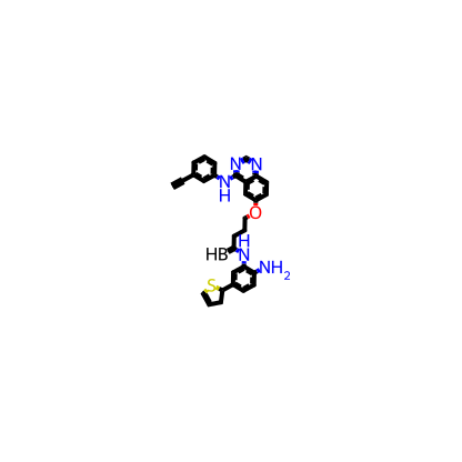 B=C(CCCOc1ccc2ncnc(Nc3cccc(C#C)c3)c2c1)Nc1cc(C2CC=CS2)ccc1N